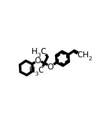 C=Cc1ccc(OC(C)(CC)OC2CCCCC2)cc1